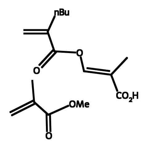 C=C(C)C(=O)OC.C=C(CCCC)C(=O)OC=C(C)C(=O)O